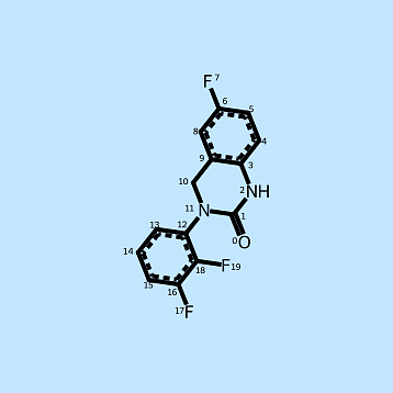 O=C1Nc2ccc(F)cc2CN1c1cccc(F)c1F